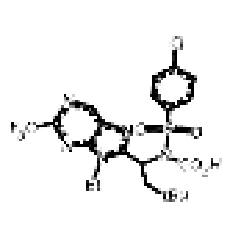 CCn1c(C(CC(C)(C)C)N(C(=O)O)S(=O)(=O)c2ccc(Cl)cc2)nc2cnc(C(F)(F)F)nc21